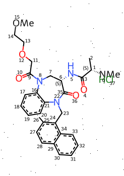 CN[C@@H](C)C(=O)N[C@H]1CN(C(=O)COCCOC)c2ccccc2N(Cc2c(C)ccc3ccccc23)C1=O.Cl